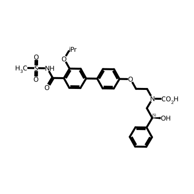 CC(C)Oc1cc(-c2ccc(OCCN(C[C@@H](O)c3ccccc3)C(=O)O)cc2)ccc1C(=O)NS(C)(=O)=O